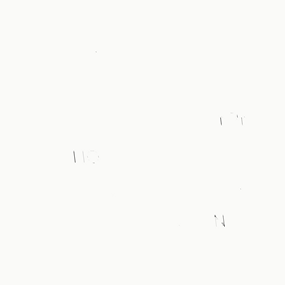 CCCc1cncc(CO)c1-c1ccccc1